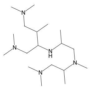 CC(CN(C)C(C)CN(C)C)NC(CN(C)C)C(C)CN(C)C